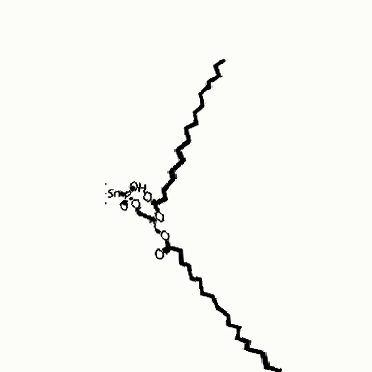 CCCCCCCCCCCCCCCCCC(=O)OC[C@H](CO[P](=O)(O)[Sn])OC(=O)CCCCCCCCCCCCCCCCC